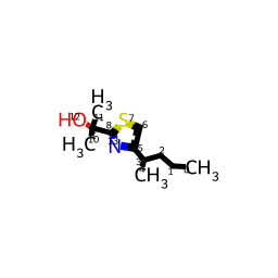 CCCC(C)c1csc(C(C)(C)O)n1